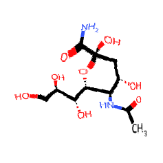 CC(=O)N[C@H]1[C@H]([C@H](O)[C@H](O)CO)O[C@](O)(C(N)=O)C[C@@H]1O